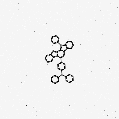 c1ccc(N(c2ccccc2)c2ccc(-c3cc4c5ccccc5n(-c5ccccc5)c4c4oc5ccccc5c34)cc2)cc1